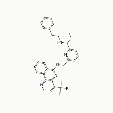 C=C(n1nc(OCc2cccc(C(CC)NCCc3ccccc3)n2)c2ccccc2/c1=N/C)C(F)(F)F